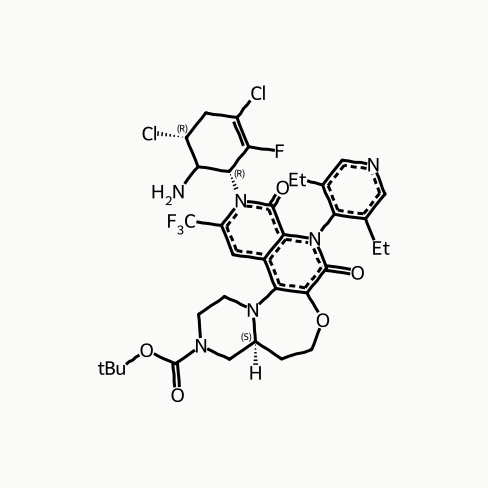 CCc1cncc(CC)c1-n1c(=O)c2c(c3cc(C(F)(F)F)n([C@H]4C(F)=C(Cl)C[C@@H](Cl)C4N)c(=O)c31)N1CCN(C(=O)OC(C)(C)C)C[C@@H]1CCO2